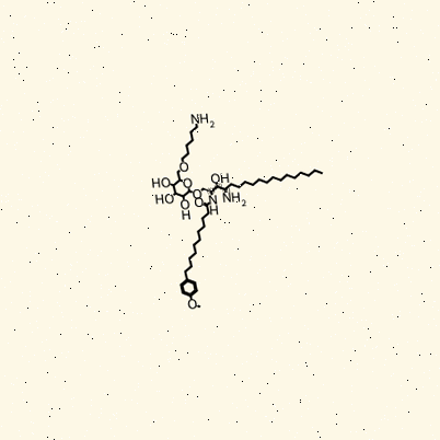 CCCCCCCCCCCCCC[C@@H](N)[C@@H](O)[C@H](COC1OC(COCCCCCCN)C(O)C(O)C1O)NC(=O)CCCCCCCCCCc1ccc(OC)cc1